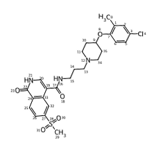 Cc1cc(Cl)ccc1OC1CCN(CCCNC(=O)c2c[nH]c(=O)c3ccc(S(C)(=O)=O)cc23)CC1